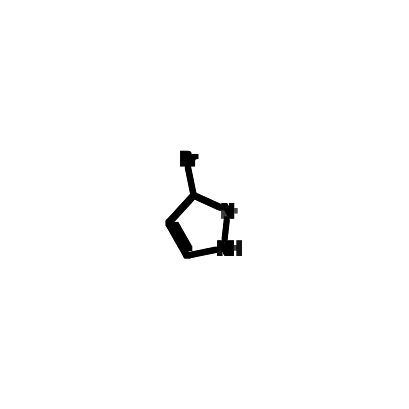 BrC1C=CN[N]1